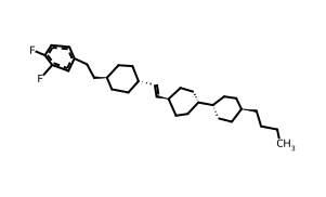 CCCC[C@H]1CC[C@H]([C@H]2CC[C@H](C=C[C@H]3CC[C@H](CCc4ccc(F)c(F)c4)CC3)CC2)CC1